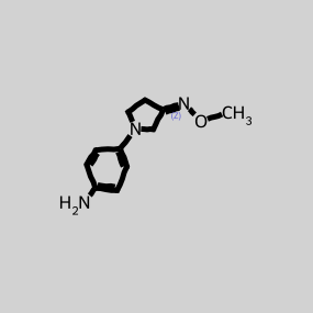 CO/N=C1/CCN(c2ccc(N)cc2)C1